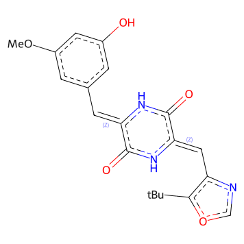 COc1cc(O)cc(/C=c2\[nH]c(=O)/c(=C/c3ncoc3C(C)(C)C)[nH]c2=O)c1